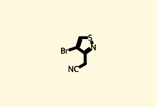 N#CCc1nscc1Br